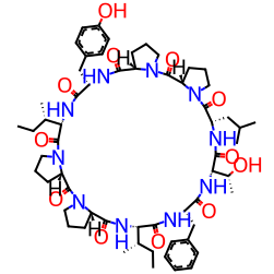 CC[C@H](C)[C@@H]1NC(=O)[C@@H]2CCCN2C(=O)[C@@H]2CCCN2C(=O)[C@H]([C@@H](C)CC)NC(=O)[C@H](Cc2ccc(O)cc2)NC(=O)[C@@H]2CCCN2C(=O)[C@@H]2CCCN2C(=O)[C@H](CC(C)C)NC(=O)[C@H]([C@@H](C)O)NC(=O)[C@H](Cc2ccccc2)NC1=O